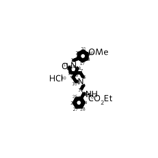 CCOC(=O)N[C@@H](CCN1CCC2(CC1)CC(=O)N(Cc1ccc(OC)cc1)C2)c1ccccc1.Cl